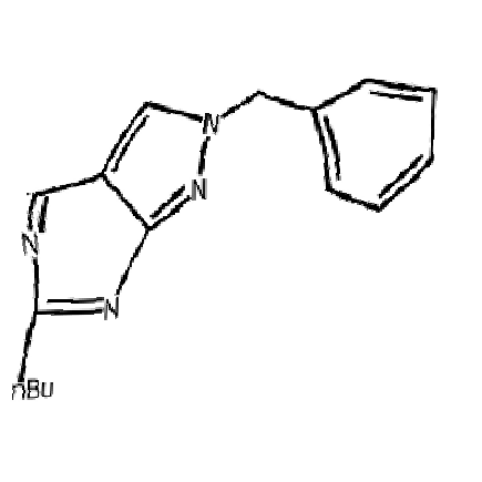 CCCCc1n[c]c2cn(Cc3ccccc3)nc2n1